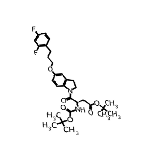 CC(C)(C)OC(=O)C[C@@H](NC(=O)OC(C)(C)C)C(=O)N1CCc2cc(OCCCc3ccc(F)cc3F)ccc21